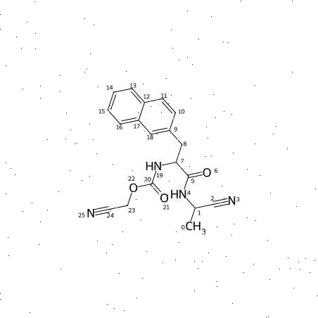 CC(C#N)NC(=O)C(Cc1ccc2ccccc2c1)NC(=O)OCC#N